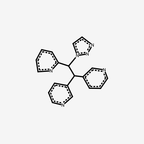 c1ccc(C(C(c2cccnc2)c2cccnc2)n2ccnn2)nc1